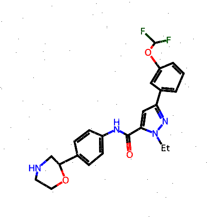 CCn1nc(-c2cccc(OC(F)F)c2)cc1C(=O)Nc1ccc(C2CNCCO2)cc1